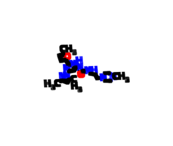 Cc1cc(C)n(-c2cc(NC(=O)NCCCN3CCN(C)CC3)nc(-c3ccc(C)o3)n2)n1